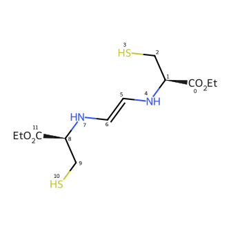 CCOC(=O)[C@H](CS)NC=CN[C@@H](CS)C(=O)OCC